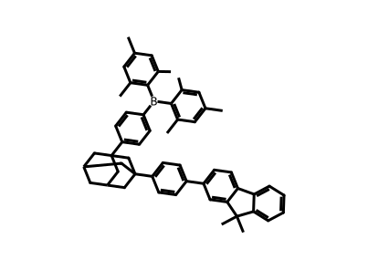 Cc1cc(C)c(B(c2ccc(C34CC5CC(C3)CC(c3ccc(-c6ccc7c(c6)C(C)(C)c6ccccc6-7)cc3)(C5)C4)cc2)c2c(C)cc(C)cc2C)c(C)c1